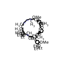 CC[Si](CC)(CC)O[C@@H]1/C(C)=C/[C@@H](C)[C@H](O)C[C@@H]([C@H](C)C[C@@H]2CC[C@@H](O[Si](CC)(CC)CC)[C@H](OC)C2)OC(=O)[C@@H]2CCCCN2C(=O)C(=O)[C@]2(O)O[C@@H](CC[C@H]2C)C[C@H](OC)/C(C)=C/C=C/C=C/[C@@H](C)C[C@@H](C)C(=O)[C@@H]1OC